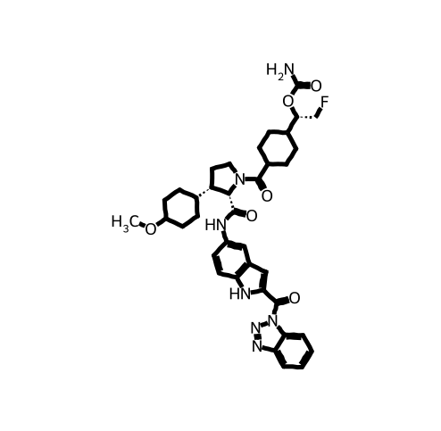 COC1CCC([C@@H]2CCN(C(=O)C3CCC([C@@H](CF)OC(N)=O)CC3)[C@@H]2C(=O)Nc2ccc3[nH]c(C(=O)n4nnc5ccccc54)cc3c2)CC1